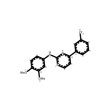 COc1ccc(Nc2nccc(-c3cccc(C(F)(F)F)c3)n2)cc1OC